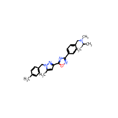 Cc1ccc(Cn2nc(-c3nc(-c4ccc(CN(C)C(C)C)cc4)no3)cc2C)cc1